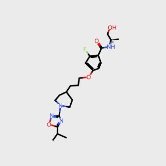 CC(C)c1nc(N2CCC(CCCOc3ccc(C(=O)N[C@H](C)CO)c(F)c3)CC2)no1